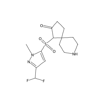 Cn1nc(C(F)F)cc1S(=O)(=O)C1C(=O)CCC12CCNCC2